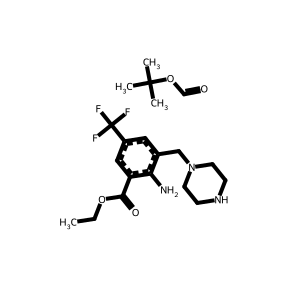 CC(C)(C)OC=O.CCOC(=O)c1cc(C(F)(F)F)cc(CN2CCNCC2)c1N